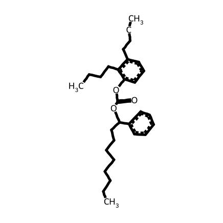 CCCCCCCCC(OC(=O)Oc1cccc(CCCC)c1CCCC)c1ccccc1